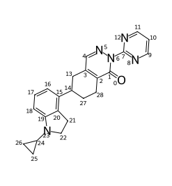 O=c1c2c(cnn1-c1ncccn1)CC(c1cccc3c1CCN3C1CC1)CC2